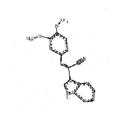 COc1ccc(/C=C(\C#N)c2c[nH]c3ccccc23)cc1OC